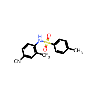 [C-]#[N+]c1ccc(NS(=O)(=O)c2ccc(C)cc2)c(C(F)(F)F)c1